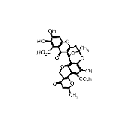 Cc1cc(=O)c2c(o1)-c1c(c3c(c(O)c1C(=O)O)OC1(C)Cc4oc5cc(O)c(O)c(C(=O)O)c5c(=O)c4C3O1)OC2